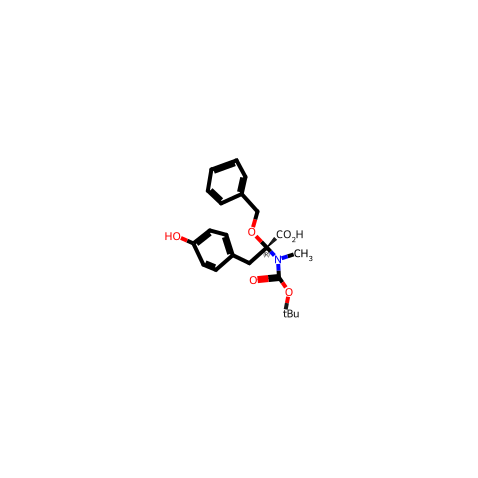 CN(C(=O)OC(C)(C)C)[C@](Cc1ccc(O)cc1)(OCc1ccccc1)C(=O)O